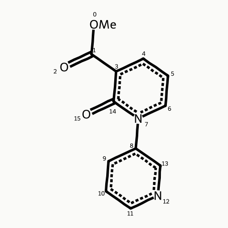 COC(=O)c1cccn(-c2cccnc2)c1=O